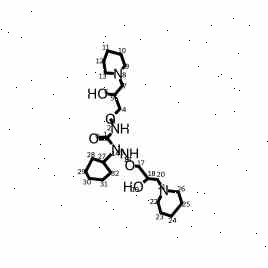 O=C(NOCC(O)CN1CCCCC1)N(NOCC(O)CN1CCCCC1)C1CCCCC1